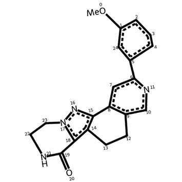 COc1cccc(-c2cc3c(cn2)CCc2c-3nn3c2C(=O)NCC3)c1